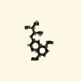 CC(=O)Oc1ccc(OC(C)=O)c2cc(CC(O)C(O)Cl)ccc12